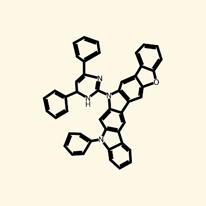 C1=C(c2ccccc2)N=C(n2c3cc4c(cc3c3cc5c6ccccc6n(-c6ccccc6)c5cc32)oc2ccccc24)NC1c1ccccc1